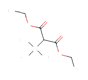 CCOC(=O)C(C(=O)OCC)[Si](C)(C)C